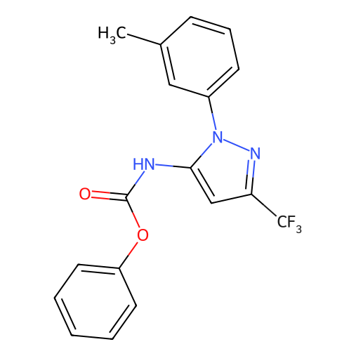 Cc1cccc(-n2nc(C(F)(F)F)cc2NC(=O)Oc2ccccc2)c1